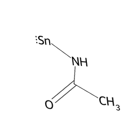 CC(=O)[NH][Sn]